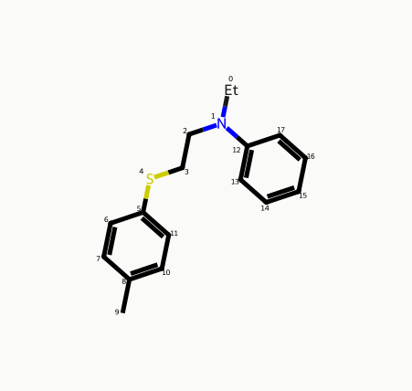 CCN(CCSc1ccc(C)cc1)c1ccccc1